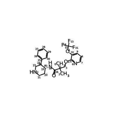 CC(C)(COc1ncccc1OC(F)(F)F)C(=O)N[C@@H]1CCNC[C@H]1c1ccccc1